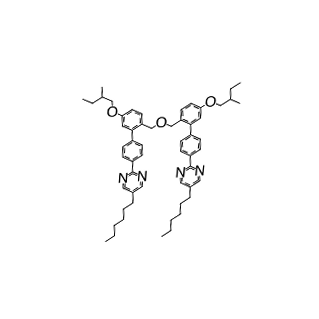 CCCCCCc1cnc(-c2ccc(-c3cc(OCC(C)CC)ccc3COCc3ccc(OCC(C)CC)cc3-c3ccc(-c4ncc(CCCCCC)cn4)cc3)cc2)nc1